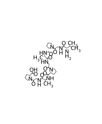 CC(C)[C@H](N)C(=O)NCC(=O)N1CCC[C@H]1C(=O)N[C@@H](C)C(=O)NCC(=O)N1CCC[C@H]1C(=O)N[C@@H](C)C(=O)NCC(=O)N1CCC[C@H]1C(=O)O